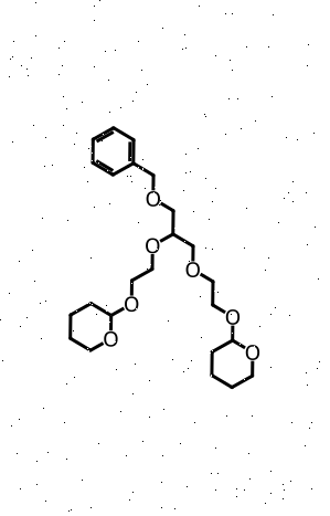 c1ccc(COCC(COCCOC2CCCCO2)OCCOC2CCCCO2)cc1